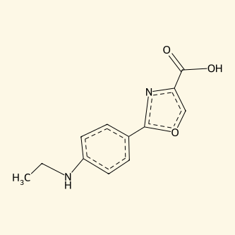 CCNc1ccc(-c2nc(C(=O)O)co2)cc1